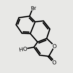 O=c1cc(O)c2c(ccc3c(Br)cccc32)o1